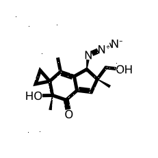 CC1=C2C(=C[C@@](C)(CO)[C@@H]2N=[N+]=[N-])C(=O)[C@](C)(O)C12CC2